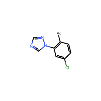 CC(=O)c1ccc(Cl)cc1-n1cncn1